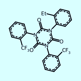 CCc1ccccc1-n1c(=O)n(-c2ccccc2C(F)(F)F)c(=O)n(-c2ccccc2C(F)(F)F)c1=O